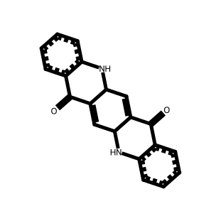 O=C1C2=CC3Nc4ccccc4C(=O)C3=CC2Nc2ccccc21